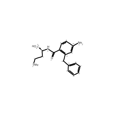 CSCC[C@H](NC(=O)c1ccc(N)cc1Cc1ccccc1)C(=O)O